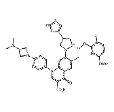 COc1ccc(Cl)c(OC[C@H]2CC(c3cn[nH]c3)CN2c2cc3c(cc2F)c(=O)c(C(=O)O)cn3-c2ccc(N3CC(N(C)C)C3)nc2)n1